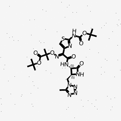 Cc1nnnn1C[C@@H]1NC(=O)[C@H]1NC(=O)C(=NOC(C)(C)C(=O)OC(C)(C)C)c1csc(NC(=O)OC(C)(C)C)n1